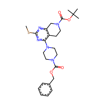 CSc1nc2c(c(N3CCN(C(=O)OCc4ccccc4)CC3)n1)CCN(C(=O)OC(C)(C)C)C2